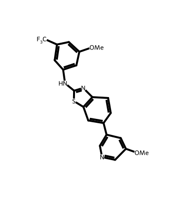 COc1cncc(-c2ccc3nc(Nc4cc(OC)cc(C(F)(F)F)c4)sc3c2)c1